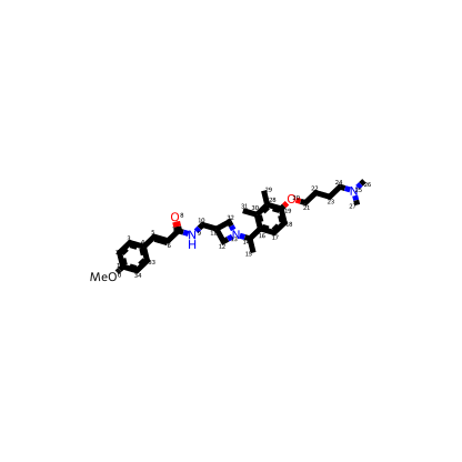 COc1ccc(C=CC(=O)NCC2CN(C(C)c3ccc(OCCCCN(C)C)c(C)c3C)C2)cc1